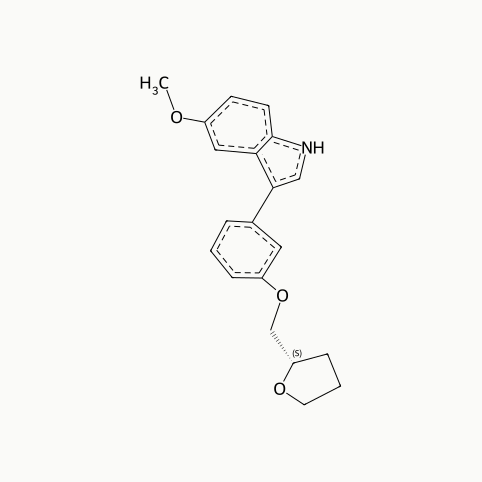 COc1ccc2[nH]cc(-c3cccc(OC[C@@H]4CCCO4)c3)c2c1